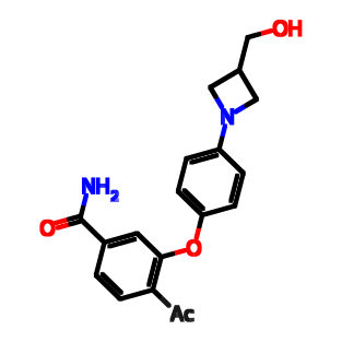 CC(=O)c1ccc(C(N)=O)cc1Oc1ccc(N2CC(CO)C2)cc1